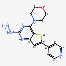 NNc1nc(N2CCOCC2)c2sc(-c3ccncc3)cc2n1